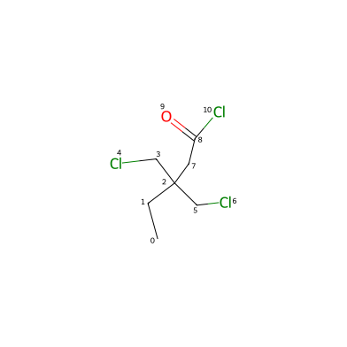 CCC(CCl)(CCl)CC(=O)Cl